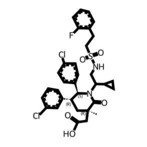 C[C@]1(CC(=O)O)C[C@H](c2cccc(Cl)c2)[C@@H](c2ccc(Cl)cc2)N(C(CNS(=O)(=O)CCc2ccccc2F)C2CC2)C1=O